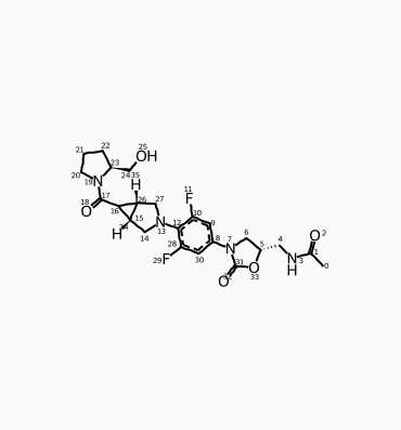 CC(=O)NC[C@H]1CN(c2cc(F)c(N3C[C@@H]4C(C(=O)N5CCC[C@H]5CO)[C@@H]4C3)c(F)c2)C(=O)O1